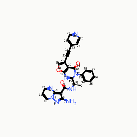 C[C@@H](NC(=O)c1c(N)nn2cccnc12)c1nc2occ(C#Cc3ccncc3)c2c(=O)n1-c1ccccc1